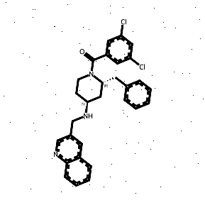 O=C(c1cc(Cl)cc(Cl)c1)N1CC[C@H](NCc2cnc3ccccc3c2)C[C@H]1Cc1ccccc1